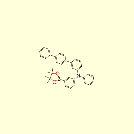 CC1(C)OB(c2cccc(N(c3ccccc3)c3cccc(-c4ccc(-c5ccccc5)cc4)c3)c2)OC1(C)C